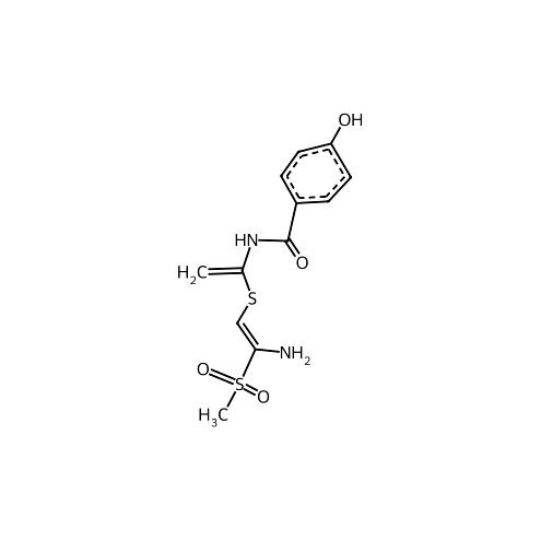 C=C(NC(=O)c1ccc(O)cc1)S/C=C(\N)S(C)(=O)=O